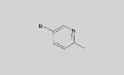 Cc1[c]cc(Br)cn1